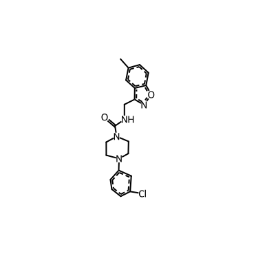 Cc1ccc2onc(CNC(=O)N3CCN(c4cccc(Cl)c4)CC3)c2c1